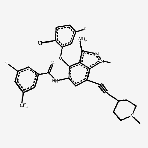 CN1CCC(C#Cc2cc(NC(=O)c3cc(F)cc(C(F)(F)F)c3)c(Oc3cc(F)ccc3Cl)c3c(N)nn(C)c23)CC1